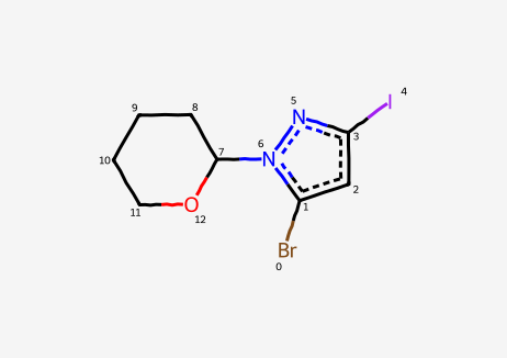 Brc1cc(I)nn1C1CCCCO1